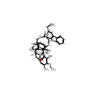 COc1c(C)cc2c(c1O)[C@@H]1[C@@H]3[C@@H]4SC[C@]5(N[C@@H](CN)Cc6c5[nH]c5ccccc65)C(=O)OC[C@@H](c5c6c(c(C)c(C)c54)OCO6)N3[C@@H](O)[C@H](C2)N1C